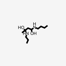 CCCCNC(O)CC(C)(O)NCCC